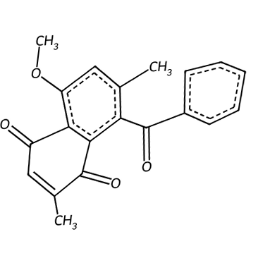 COc1cc(C)c(C(=O)c2ccccc2)c2c1C(=O)C=C(C)C2=O